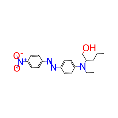 CCCC(CO)N(CC)c1ccc(N=Nc2ccc([N+](=O)[O-])cc2)cc1